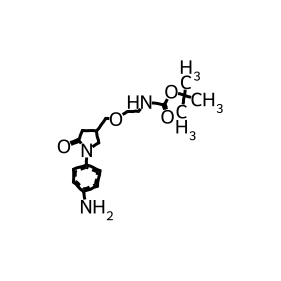 CC(C)(C)OC(=O)NCCOCC1CC(=O)N(c2ccc(N)cc2)C1